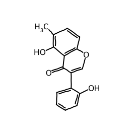 Cc1ccc2occ(-c3ccccc3O)c(=O)c2c1O